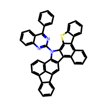 c1ccc(-c2nc(-n3c4c5cccc6c5c(cc4c4c5ccccc5c5c7ccccc7sc5c43)-c3ccccc3-6)nc3ccccc23)cc1